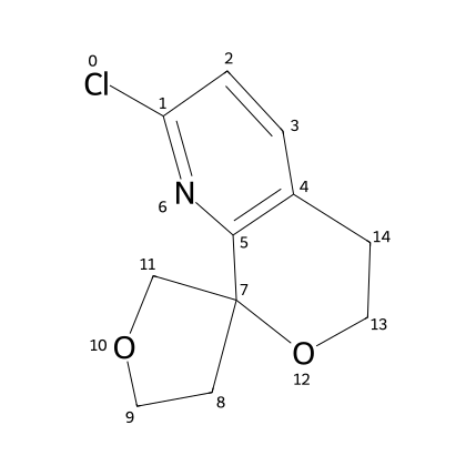 Clc1ccc2c(n1)C1(CCOC1)OCC2